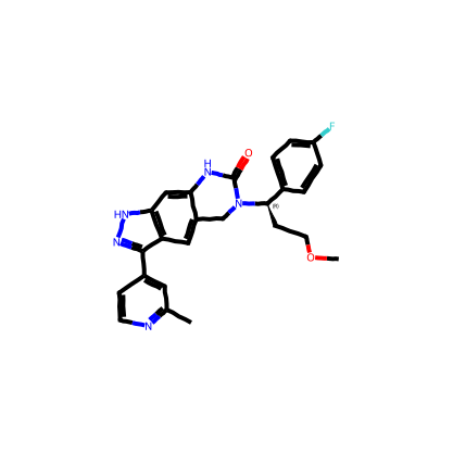 COCC[C@H](c1ccc(F)cc1)N1Cc2cc3c(-c4ccnc(C)c4)n[nH]c3cc2NC1=O